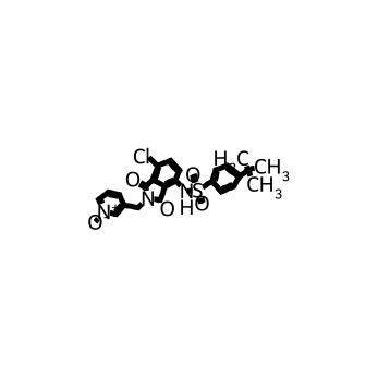 CC(C)(C)c1ccc(S(=O)(=O)Nc2ccc(Cl)c3c2C(=O)N(Cc2ccc[n+]([O-])c2)C3=O)cc1